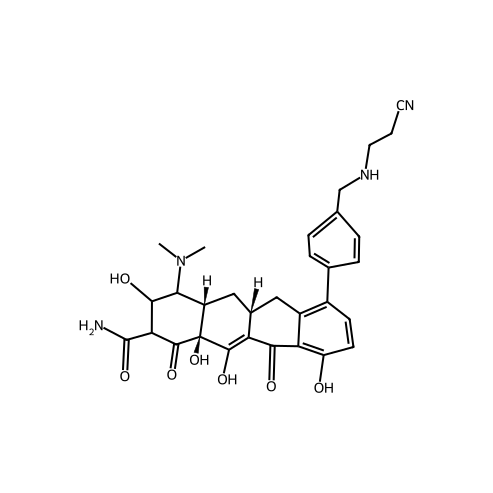 CN(C)C1C(O)C(C(N)=O)C(=O)[C@@]2(O)C(O)=C3C(=O)c4c(O)ccc(-c5ccc(CNCCC#N)cc5)c4C[C@H]3C[C@@H]12